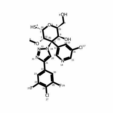 CO[C@@H]1[C@H](S)O[C@@H](CO)[C@@H](O)[C@@]1(c1cncc(Cl)c1)n1cc(-c2cc(F)c(Cl)c(F)c2)nn1